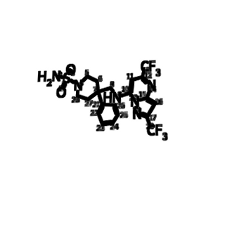 NS(=O)(=O)N1CCC(CNc2cc(C(F)(F)F)nc3cc(C(F)(F)F)nn23)(c2ccccc2)CC1